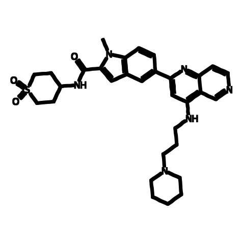 Cn1c(C(=O)NC2CCS(=O)(=O)CC2)cc2cc(-c3cc(NCCCN4CCCCC4)c4cnccc4n3)ccc21